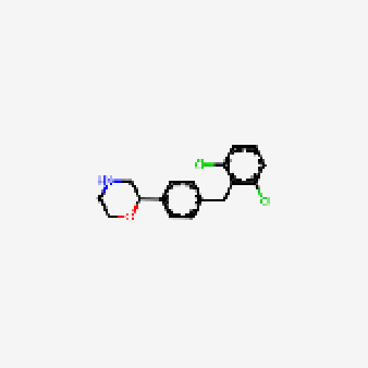 Clc1cccc(Cl)c1Cc1ccc(C2CNCCO2)cc1